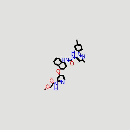 COCC(=O)Nc1cc(Oc2ccc(NC(=O)Nc3cc(C)nn3-c3ccc(C)cc3)c3ccccc23)ccn1